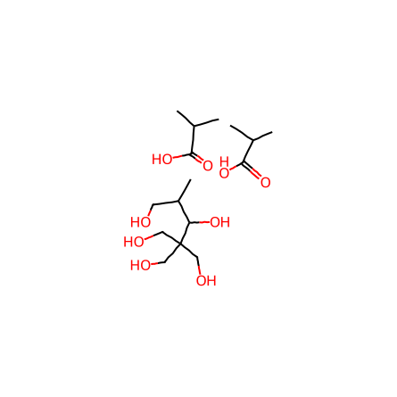 CC(C)C(=O)O.CC(C)C(=O)O.CC(CO)C(O)C(CO)(CO)CO